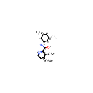 COc1ccnc(C(=O)N[C@H]2C[C@@H](C(F)(F)F)C[C@@H](C(F)(F)F)C2)c1OC(C)=O